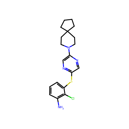 Nc1cccc(Sc2cnc(N3CCC4(CCCC4)CC3)cn2)c1Cl